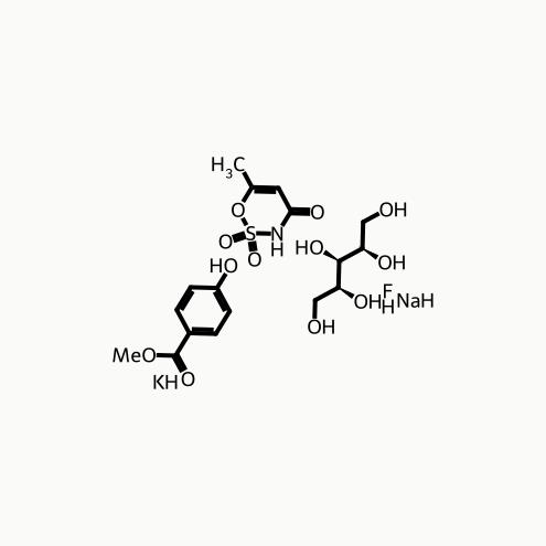 CC1=CC(=O)NS(=O)(=O)O1.COC(=O)c1ccc(O)cc1.F.OC[C@@H](O)[C@H](O)[C@@H](O)CO.[KH].[NaH]